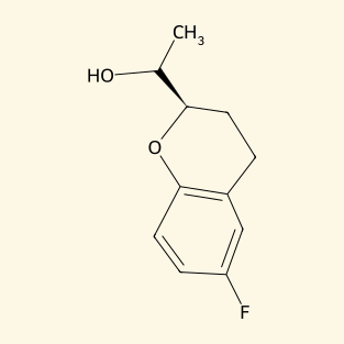 CC(O)[C@H]1CCc2cc(F)ccc2O1